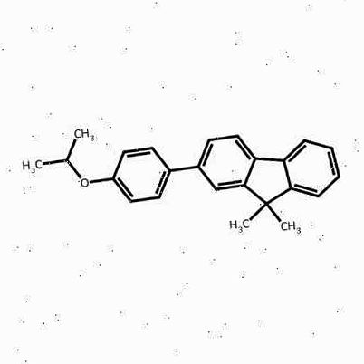 CC(C)Oc1ccc(-c2ccc3c(c2)C(C)(C)c2ccccc2-3)cc1